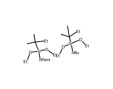 CCCCC[Si](OCC)(OCC)C(C)(C)CC.CCCC[Si](OCC)(OCC)C(C)(C)CC